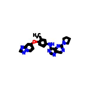 Cc1cc(Nc2ncnc3cnc(N4CCCC4)nc23)ccc1Oc1ccn2ncnc2c1